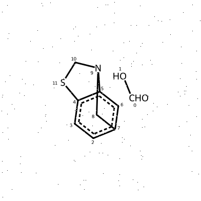 O=CO.c1cc2c3cc1CN3CS2